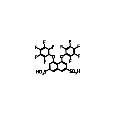 O=S(=O)(O)c1cc(Oc2c(F)c(F)c(F)c(F)c2F)c2c(Oc3c(F)c(F)c(F)c(F)c3F)cc(S(=O)(=O)O)cc2c1